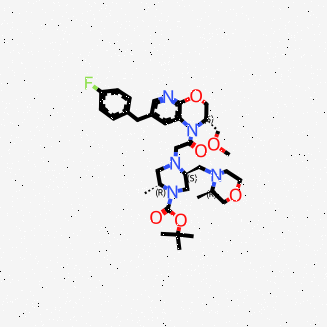 COC[C@H]1COc2ncc(Cc3ccc(F)cc3)cc2N1C(=O)CN1C[C@@H](C)N(C(=O)OC(C)(C)C)C[C@@H]1CN1CCOC[C@H]1C